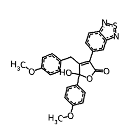 COc1ccc(CC2=C(c3ccc4nsnc4c3)C(=O)OC2(O)c2ccc(OC)cc2)cc1